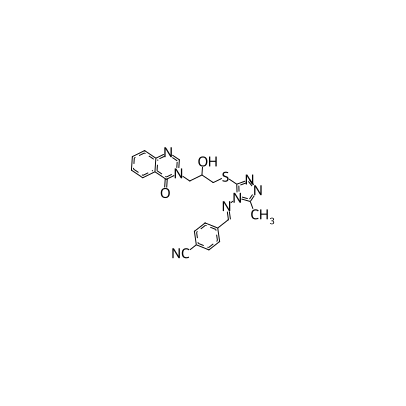 Cc1nnc(SCC(O)Cn2cnc3ccccc3c2=O)n1N=Cc1ccc(C#N)cc1